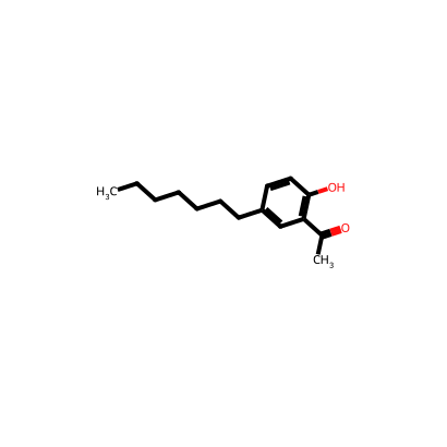 CCCCCCCc1ccc(O)c(C(C)=O)c1